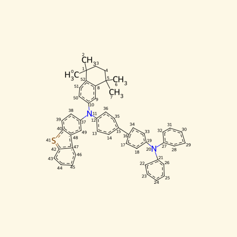 CC1(C)CCC(C)(C)c2cc(N(c3ccc(-c4ccc(N(c5ccccc5)c5ccccc5)cc4)cc3)c3ccc4sc5ccccc5c4c3)ccc21